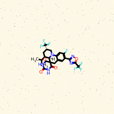 CC(C)C1C[C@H](C(F)(F)F)CN2c3cc(F)c(-c4noc(C(F)(F)F)n4)cc3CC3(C(=O)NC(=O)NC3=O)[C@@H]12